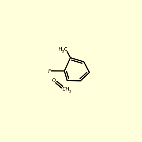 C=O.Cc1ccccc1F